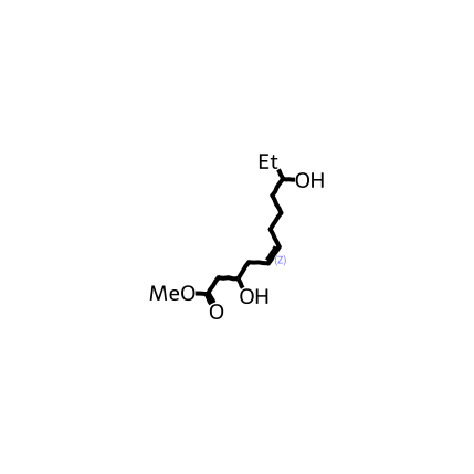 CCC(O)CCC/C=C\CC(O)CC(=O)OC